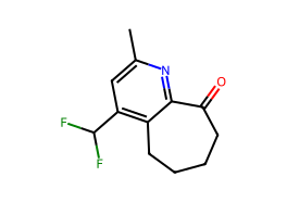 Cc1cc(C(F)F)c2c(n1)C(=O)CCCC2